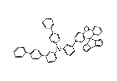 c1ccc(-c2ccc(-c3cccc(N(c4ccc(-c5ccccc5)cc4)c4cccc(-c5ccc6c(c5)C5(c7ccccc7O6)c6ccccc6-c6ccccc65)c4)c3)cc2)cc1